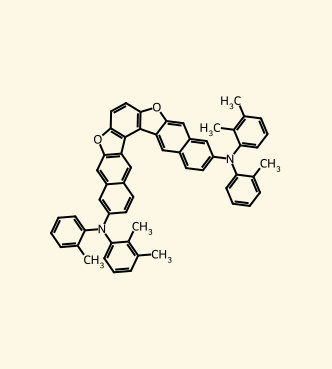 Cc1ccccc1N(c1ccc2cc3c(cc2c1)oc1ccc2oc4cc5cc(N(c6ccccc6C)c6cccc(C)c6C)ccc5cc4c2c13)c1cccc(C)c1C